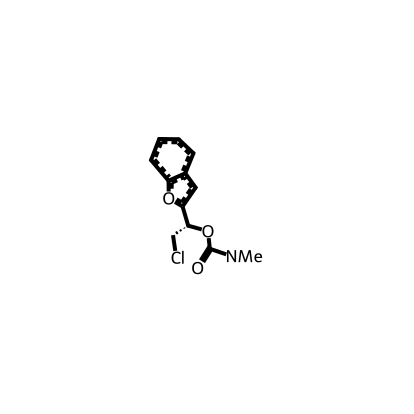 CNC(=O)O[C@H](CCl)c1cc2ccccc2o1